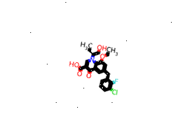 CCOc1cc(Cc2cccc(Cl)c2F)cc2c(=O)c(C(=O)O)cn([C@@H](CC)CO)c12